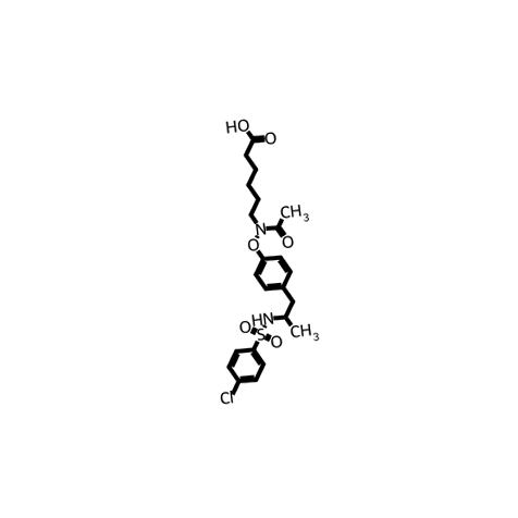 CC(=O)N(CCCCCC(=O)O)Oc1ccc(CC(C)NS(=O)(=O)c2ccc(Cl)cc2)cc1